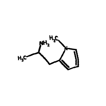 CC(N)Cc1cccn1C